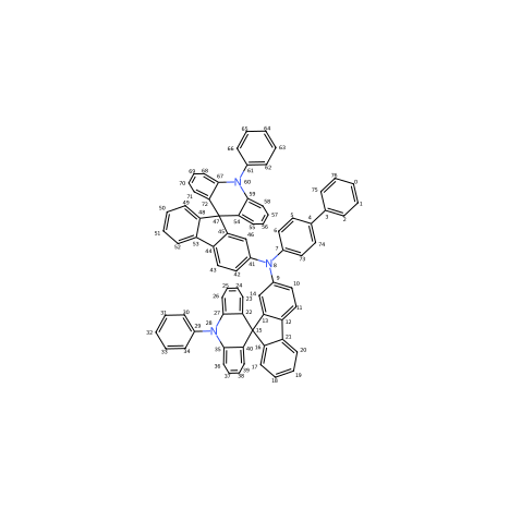 c1ccc(-c2ccc(N(c3ccc4c(c3)C3(c5ccccc5-4)c4ccccc4N(c4ccccc4)c4ccccc43)c3ccc4c(c3)C3(c5ccccc5-4)c4ccccc4N(c4ccccc4)c4ccccc43)cc2)cc1